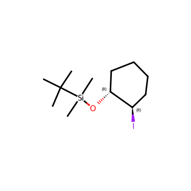 CC(C)(C)[Si](C)(C)O[C@@H]1CCCC[C@H]1I